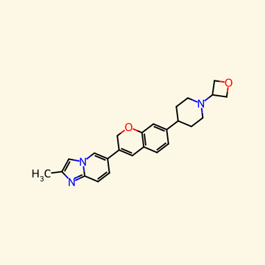 Cc1cn2cc(C3=Cc4ccc(C5CCN(C6COC6)CC5)cc4OC3)ccc2n1